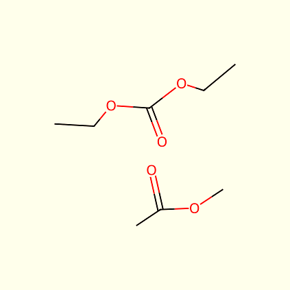 CCOC(=O)OCC.COC(C)=O